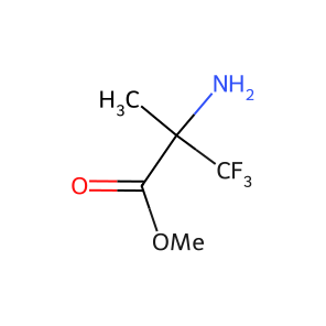 COC(=O)C(C)(N)C(F)(F)F